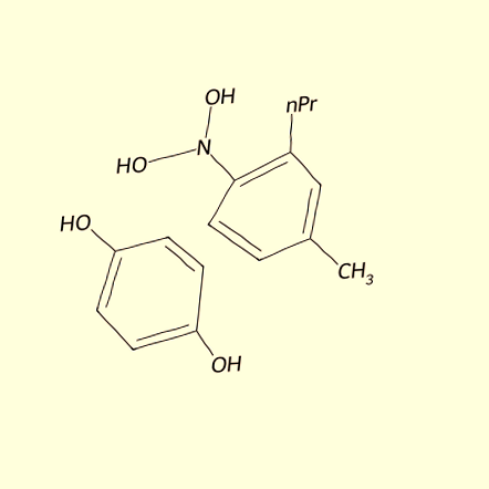 CCCc1cc(C)ccc1N(O)O.Oc1ccc(O)cc1